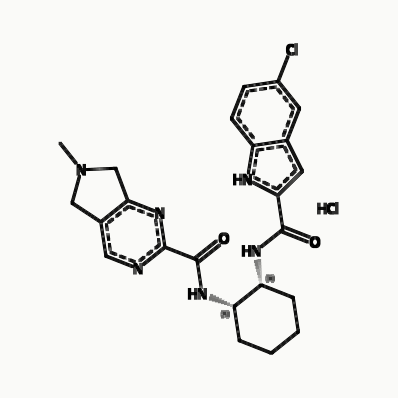 CN1Cc2cnc(C(=O)N[C@H]3CCCC[C@H]3NC(=O)c3cc4cc(Cl)ccc4[nH]3)nc2C1.Cl